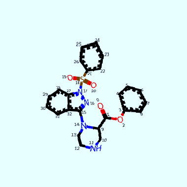 O=C(Oc1ccccc1)C1CNCCN1c1nn(S(=O)(=O)c2ccccc2)c2ccccc12